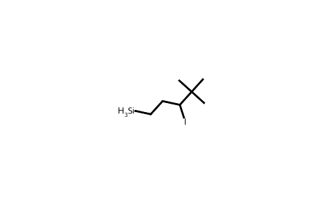 CC(C)(C)C(I)CC[SiH3]